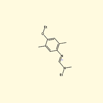 CCOc1cc(C)c(/N=C/N(C)CC)cc1C